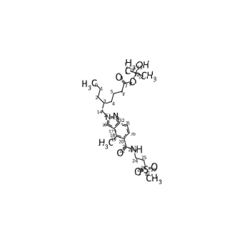 CCCC(CCCC(=O)OC(C)(C)O)Cn1cc2c(C)c(C(=O)NCCS(C)(=O)=O)ccc2n1